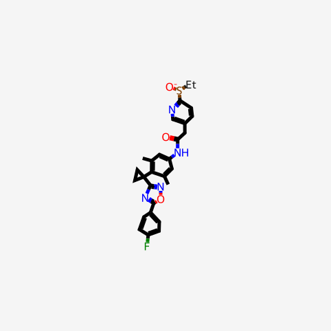 CC[S+]([O-])c1ccc(CC(=O)Nc2cc(C)c(C3(c4noc(-c5ccc(F)cc5)n4)CC3)c(C)c2)cn1